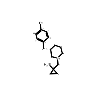 NC1(CN2CCC[C@@H](Cc3ccc(F)cc3)C2)CC1